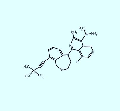 CN(N)c1c(N)nc(N2CCOCc3c(C#CC(C)(C)O)cccc32)c2c(F)cncc12